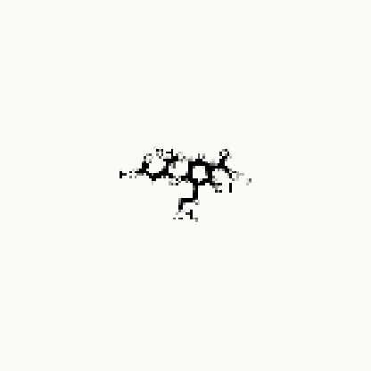 CCCc1c(SC(=CC(=O)O)C(=O)O)ccc(C(C)=O)c1O